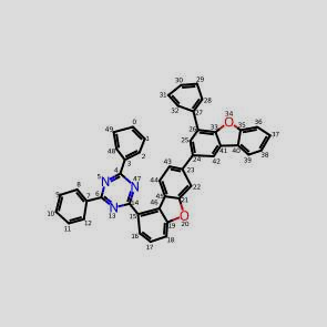 c1ccc(-c2nc(-c3ccccc3)nc(-c3cccc4oc5cc(-c6cc(-c7ccccc7)c7oc8ccccc8c7c6)ccc5c34)n2)cc1